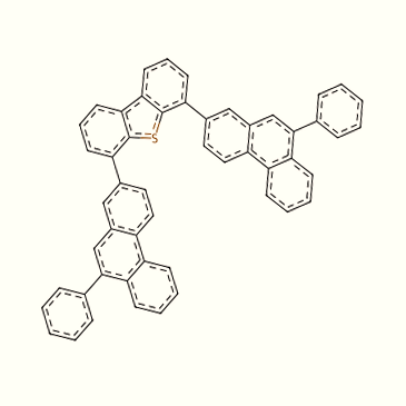 c1ccc(-c2cc3cc(-c4cccc5c4sc4c(-c6ccc7c(c6)cc(-c6ccccc6)c6ccccc67)cccc45)ccc3c3ccccc23)cc1